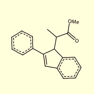 COC(=O)C(C)C1C(c2ccccc2)=Cc2ccccc21